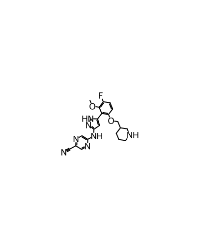 COc1c(F)ccc(OCC2CCCNC2)c1-c1cc(Nc2cnc(C#N)cn2)n[nH]1